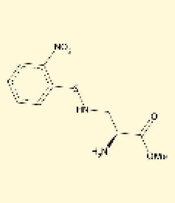 COC(=O)[C@@H](N)CNSc1ccccc1[N+](=O)[O-]